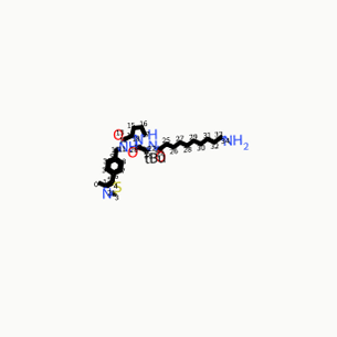 Cc1ncsc1-c1ccc(CNC(=O)C2CCCN2C(=O)C(NC(=O)CCCCCCCCCN)C(C)(C)C)cc1